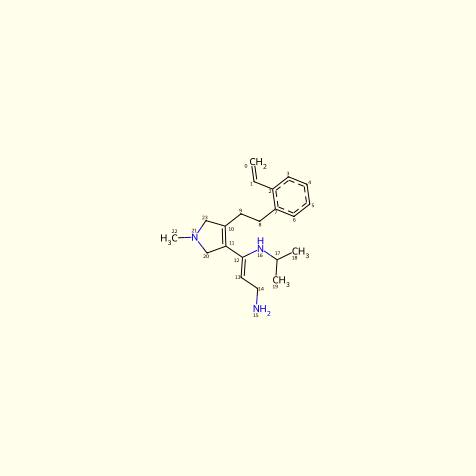 C=Cc1ccccc1CCC1=C(/C(=C/CN)NC(C)C)CN(C)C1